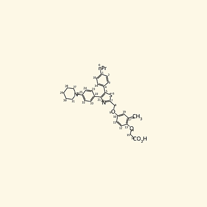 CCCc1ccc(-c2sc(COc3ccc(OCC(=O)O)c(C)c3)nc2-c2ccc(N3CCCCC3)cc2)cc1